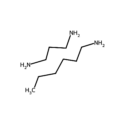 CCCCCCN.NCCCN